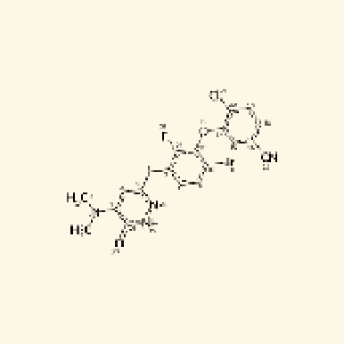 CN(C)c1cc(Cc2ccc(Br)c(Oc3cc(C#N)ccc3Cl)c2F)n[nH]c1=O